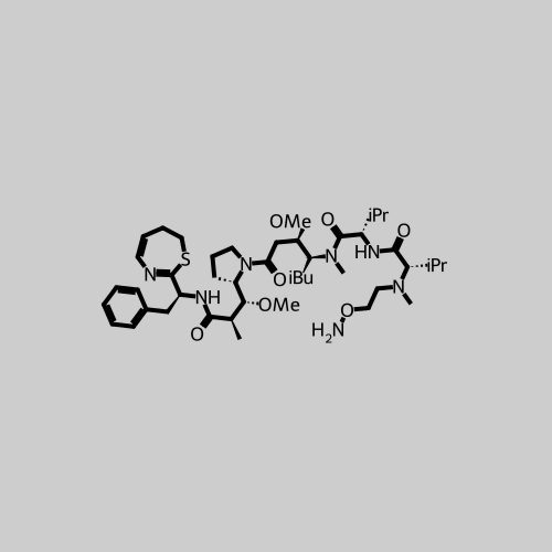 CC[C@H](C)[C@@H]([C@@H](CC(=O)N1CCC[C@H]1[C@H](OC)[C@@H](C)C(=O)N[C@@H](Cc1ccccc1)C1=NC=CCCS1)OC)N(C)C(=O)[C@@H](NC(=O)[C@H](C(C)C)N(C)CCON)C(C)C